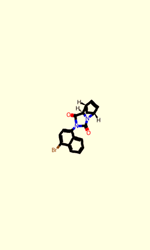 O=C1[C@H]2[C@@H]3C=C[C@@H](C3)N2C(=O)N1c1ccc(Br)c2ccccc12